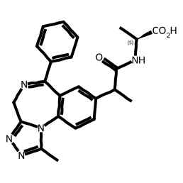 Cc1nnc2n1-c1ccc(C(C)C(=O)N[C@@H](C)C(=O)O)cc1C(c1ccccc1)=NC2